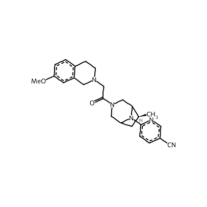 COc1ccc2c(c1)CN(CC(=O)N1CC3C[C@H](C)C(C1)N3c1ccc(C#N)cn1)CC2